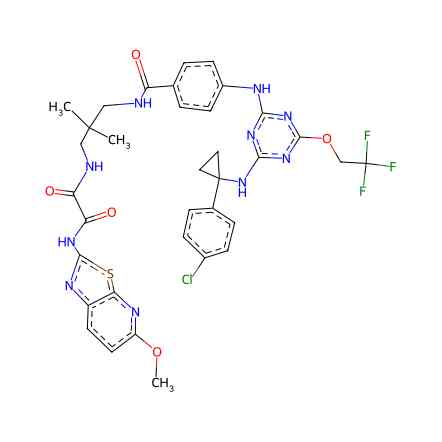 COc1ccc2nc(NC(=O)C(=O)NCC(C)(C)CNC(=O)c3ccc(Nc4nc(NC5(c6ccc(Cl)cc6)CC5)nc(OCC(F)(F)F)n4)cc3)sc2n1